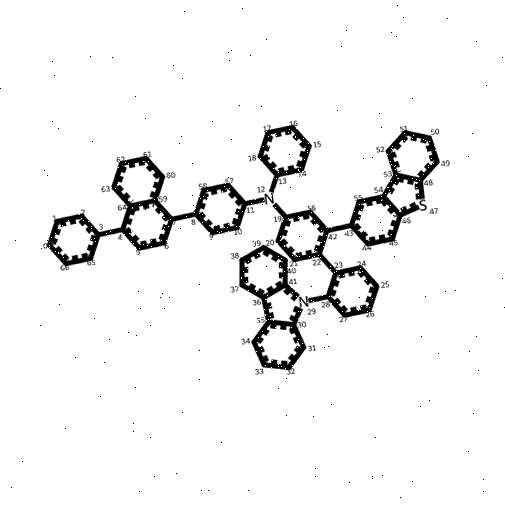 c1ccc(-c2ccc(-c3ccc(N(c4ccccc4)c4ccc(-c5ccccc5-n5c6ccccc6c6ccccc65)c(-c5ccc6sc7ccccc7c6c5)c4)cc3)c3ccccc23)cc1